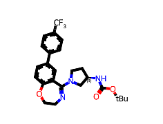 CC(C)(C)OC(=O)N[C@@H]1CCN(C2=NCCOc3ccc(-c4ccc(C(F)(F)F)cc4)cc32)C1